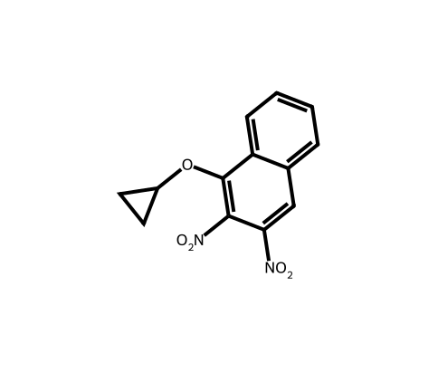 O=[N+]([O-])c1cc2ccccc2c(OC2CC2)c1[N+](=O)[O-]